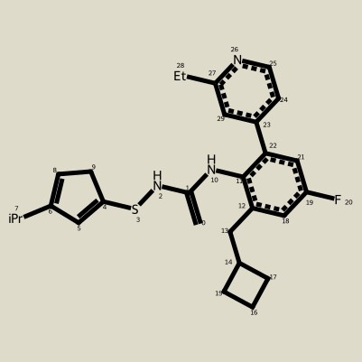 C=C(NSC1=CC(C(C)C)=CC1)Nc1c(CC2CCC2)cc(F)cc1-c1ccnc(CC)c1